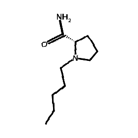 CCCCCN1CCC[C@H]1C(N)=O